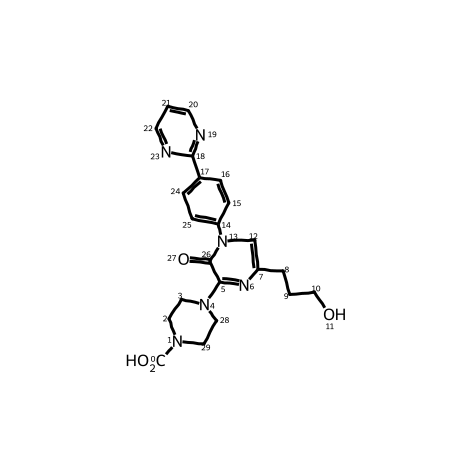 O=C(O)N1CCN(c2nc(CCCO)cn(-c3ccc(-c4ncccn4)cc3)c2=O)CC1